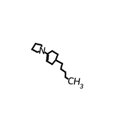 CCCCCC1CC=C(N2CCCC2)CC1